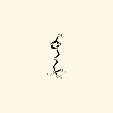 Cc1ncn(COCC[Si](C)(C)C)n1